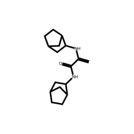 C=C(NC1CC2CCC1C2)C(=O)NC1CC2CCC1C2